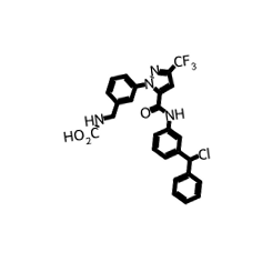 O=C(O)NCc1cccc(-n2nc(C(F)(F)F)cc2C(=O)Nc2cccc(C(Cl)c3ccccc3)c2)c1